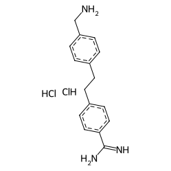 Cl.Cl.N=C(N)c1ccc(CCc2ccc(CN)cc2)cc1